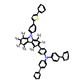 [2H]c1c([2H])c([2H])c2c(c1[2H])c1c([2H])c(-c3ccc(N(c4ccc(-c5ccccc5)cc4)c4ccc(-c5ccccc5)cc4)cc3)c([2H])c([2H])c1n2-c1ccc(-c2ccc(-c3ccccc3)s2)cc1